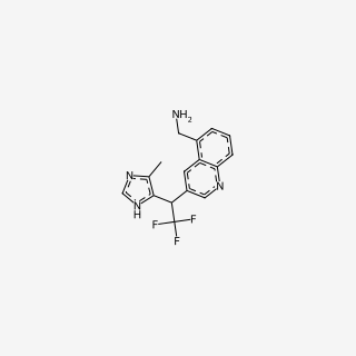 Cc1nc[nH]c1C(c1cnc2cccc(CN)c2c1)C(F)(F)F